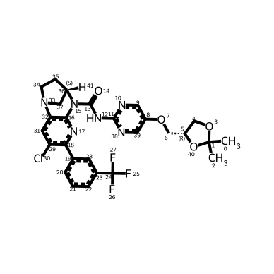 CC1(C)OC[C@@H](COc2cnc(NC(=O)N3c4nc(-c5cccc(C(F)(F)F)c5)c(Cl)cc4N4CC[C@H]3C4)nc2)O1